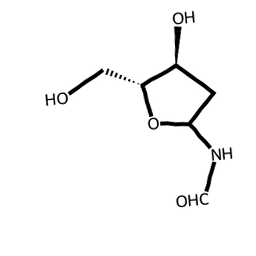 O=CNC1C[C@H](O)[C@@H](CO)O1